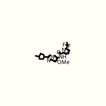 COc1cc2nc(C3CCC(C)CC3)cn2cc1NC(=O)c1cccc(C(C)(F)F)n1